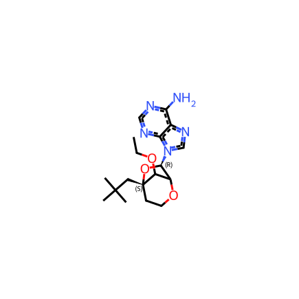 CCOC1C2OCC[C@]1(CC(C)(C)C)O[C@H]2n1cnc2c(N)ncnc21